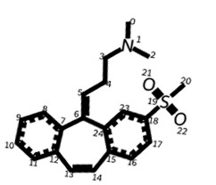 CN(C)CCC=C1c2ccccc2C=Cc2ccc(S(C)(=O)=O)cc21